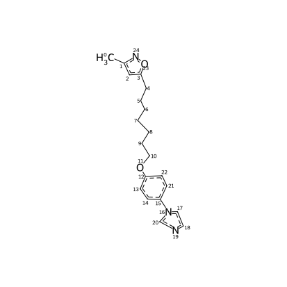 Cc1cc(CCCCCCCOc2ccc(-n3ccnc3)cc2)on1